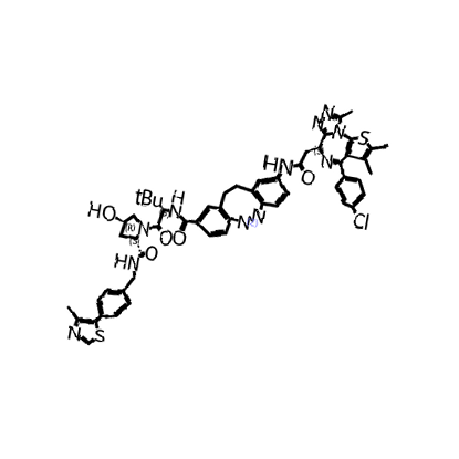 Cc1ncsc1-c1ccc(CNC(=O)[C@@H]2C[C@@H](O)CN2C(=O)[C@@H](NC(=O)c2ccc3c(c2)CCc2cc(NC(=O)C[C@@H]4N=C(c5ccc(Cl)cc5)c5c(sc(C)c5C)-n5c(C)nnc54)ccc2/N=N\3)C(C)(C)C)cc1